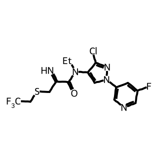 CCN(C(=O)C(=N)CSCC(F)(F)F)c1cn(-c2cncc(F)c2)nc1Cl